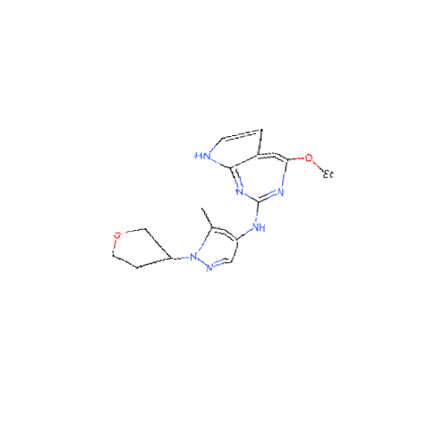 CCOc1nc(Nc2cnn(C3CCOC3)c2C)nc2[nH]ccc12